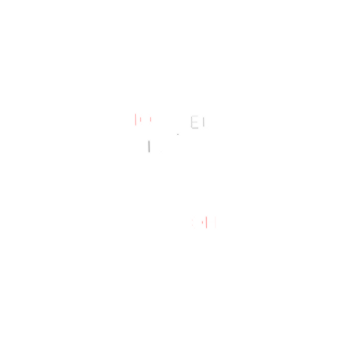 CCC(CC)(CO)CCCCO